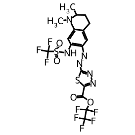 CC1CCc2cc(N=Nc3nnc(C(=O)OC(F)(F)C(F)(F)F)s3)c(NS(=O)(=O)C(F)(F)F)cc2N1C